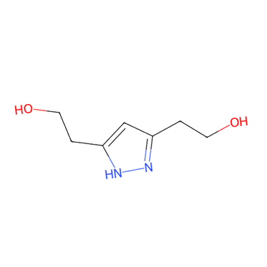 OCCc1cc(CCO)[nH]n1